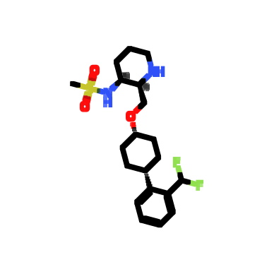 CS(=O)(=O)N[C@H]1CCCN[C@H]1CO[C@H]1CC[C@@H](c2ccccc2C(F)F)CC1